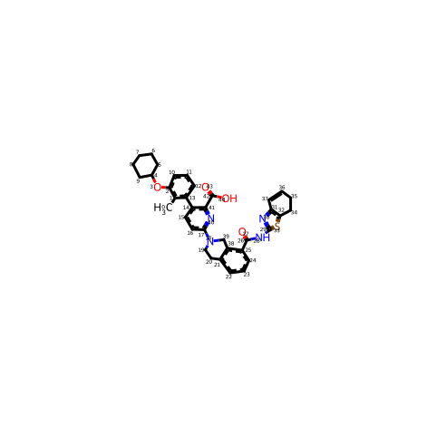 Cc1c(OC2CCCCC2)cccc1-c1ccc(N2CCc3cccc(C(=O)Nc4nc5c(s4)CCC=C5)c3C2)nc1C(=O)O